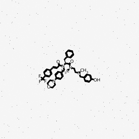 CN(CCN(C)C(=O)[C@H](Cc1ccccc1)N(Cc1ccc(N2CCOCC2)cc1)C(=O)C=Cc1ccc(C(F)(F)F)cc1)Cc1ccc(O)cc1